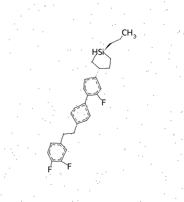 CCC[Si@H]1CC[C@H](c2ccc(-c3ccc(CCc4ccc(F)c(F)c4)cc3)c(F)c2)CC1